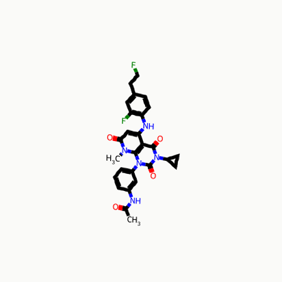 CC(=O)Nc1cccc(-n2c(=O)n(C3CC3)c(=O)c3c(Nc4ccc(CCF)cc4F)cc(=O)n(C)c32)c1